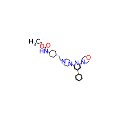 CCOC(=O)N[C@H]1CC[C@H](CCN2CCN(c3cc(-c4ccccc4)cc(N4CCOCC4)n3)CC2)CC1